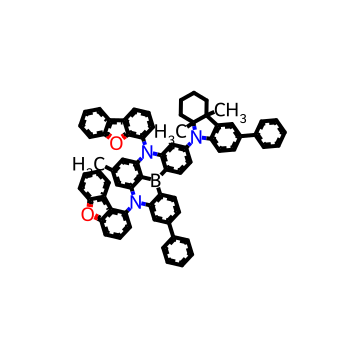 Cc1cc2c3c(c1)N(c1cccc4oc5ccccc5c14)c1cc(-c4ccccc4)ccc1B3c1ccc(N3c4ccc(-c5ccccc5)cc4C4(C)CCCCC34C)cc1N2c1cccc2c1oc1ccccc12